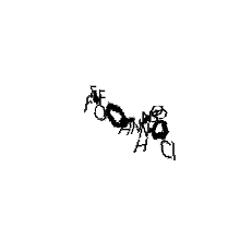 O=S1(=O)N=C(NCc2ccc(OC(F)(F)F)cc2)Nc2cc(Cl)ccc21